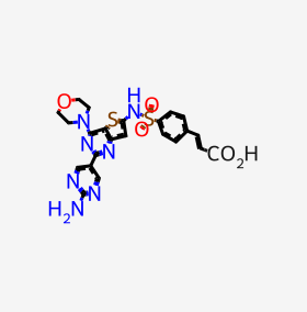 Nc1ncc(-c2nc(N3CCOCC3)c3sc(NS(=O)(=O)c4ccc(C=CC(=O)O)cc4)cc3n2)cn1